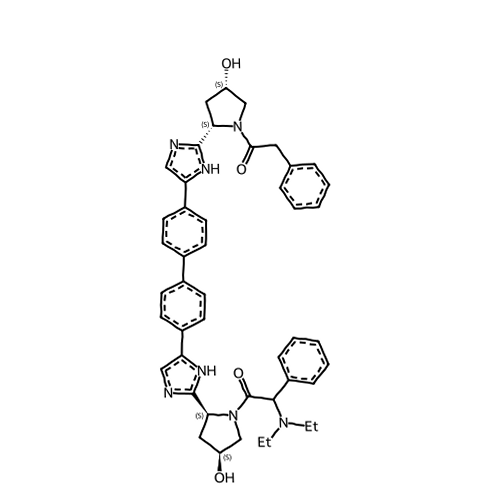 CCN(CC)C(C(=O)N1C[C@@H](O)C[C@H]1c1ncc(-c2ccc(-c3ccc(-c4cnc([C@@H]5C[C@H](O)CN5C(=O)Cc5ccccc5)[nH]4)cc3)cc2)[nH]1)c1ccccc1